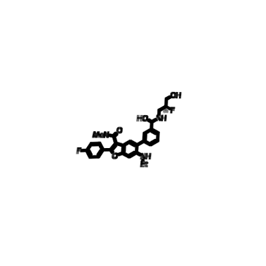 CCNc1cc2oc(-c3ccc(F)cc3)c(C(=O)NC)c2cc1-c1cccc(C(O)NC[C@H](F)CO)c1